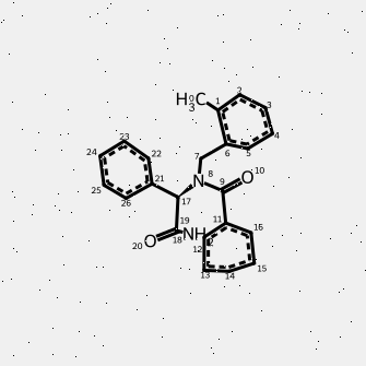 Cc1ccccc1CN(C(=O)c1ccccc1)[C@@H](C(N)=O)c1ccccc1